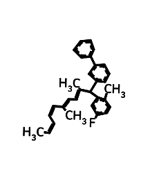 C\C=C/C=C\C(C)=C\C=C(/C)C(c1cccc(-c2ccccc2)c1)c1cc(F)ccc1C